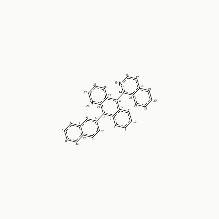 c1ccc2cc(-c3c4ccccc4c(-c4nccc5ccccc45)c4cccnc34)ccc2c1